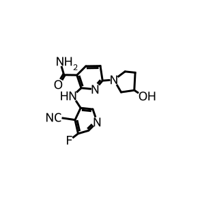 N#Cc1c(F)cncc1Nc1nc(N2CCC(O)C2)ccc1C(N)=O